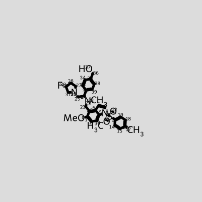 COc1cc(C)c2c(ccn2S(=O)(=O)c2ccc(C)cc2)c1CN(C)C(CN1CC[C@@H](F)C1)c1ccc(CO)cc1